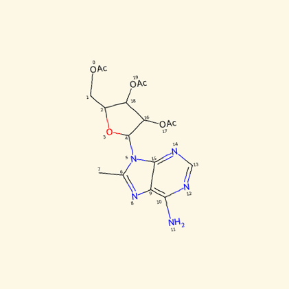 CC(=O)OCC1OC(n2c(C)nc3c(N)ncnc32)C(OC(C)=O)C1OC(C)=O